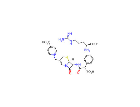 N=C(N)NCCC[C@H](N)C(=O)[O-].O=C(O)c1cc[n+](CC2=CN3C(=O)C(NC(=O)C(c4ccccc4)S(=O)(=O)O)[C@@H]3SC2)cc1